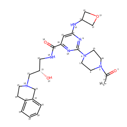 CC(=O)N1CCN(c2nc(NC3COC3)cc(C(=O)NC[C@H](O)CN3CCc4ccccc4C3)n2)CC1